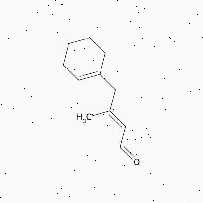 C/C(=C\C=O)CC1=CCCCC1